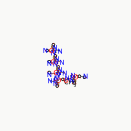 COc1ccc(COC2=NC=CC(CC#N)N2c2nc3ccccc3s2)cc1.N#CCC1C=CN=C(OCCCc2ccccn2)N1c1nc2ccccc2s1.N#CCC1C=CN=C(OCc2ccc(-c3cccnc3)cc2)N1c1nc2ccccc2s1.N#CCC1C=CN=C(OCc2ccccn2)N1c1nc2ccccc2s1.N#CCC1C=CN=C(OCc2ccncc2)N1c1nc2ccccc2s1